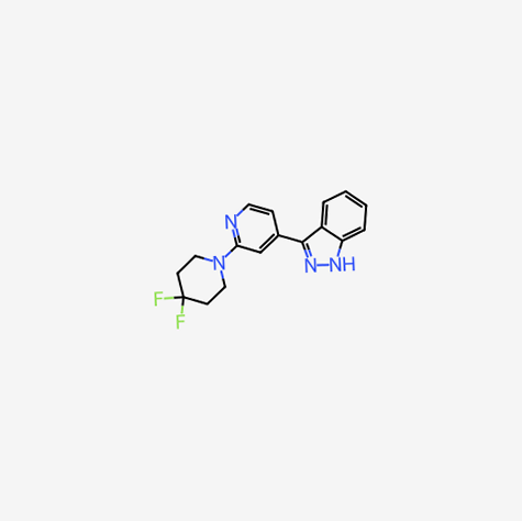 FC1(F)CCN(c2cc(-c3n[nH]c4ccccc34)ccn2)CC1